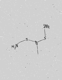 CSSB(C)SN